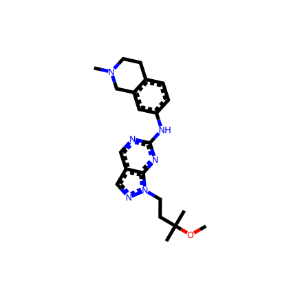 COC(C)(C)CCn1ncc2cnc(Nc3ccc4c(c3)CN(C)CC4)nc21